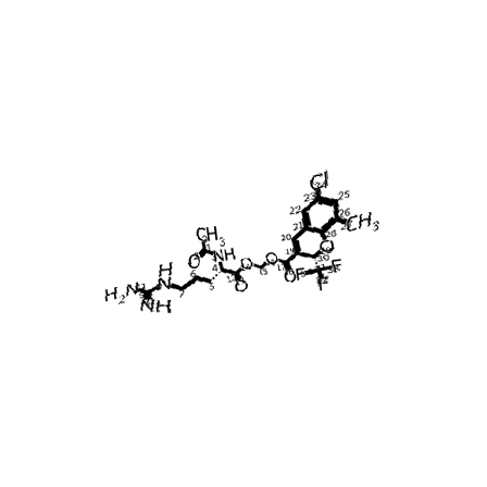 CC(=O)N[C@@H](CCCNC(=N)N)C(=O)OCOC(=O)C1=Cc2cc(Cl)cc(C)c2O[C@@H]1C(F)(F)F